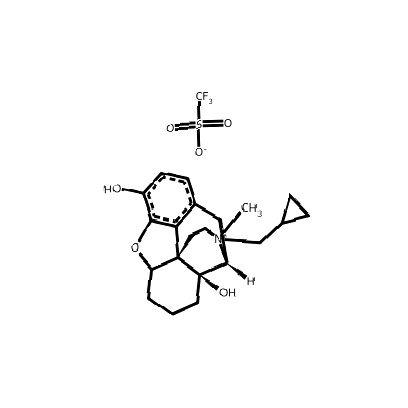 C[N+]1(CC2CC2)CC[C@]23c4c5ccc(O)c4OC2CCC[C@@]3(O)[C@H]1C5.O=S(=O)([O-])C(F)(F)F